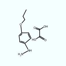 CCCOc1ccc(NN)cc1.O=C(O)C(=O)O